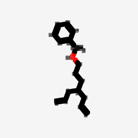 C=CCC(CC=C)CCCO[SiH2]c1ccccc1